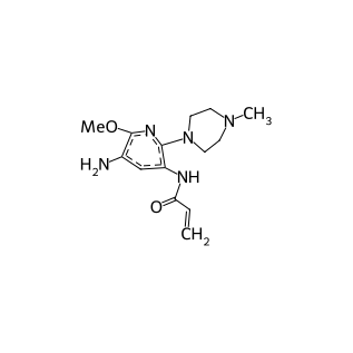 C=CC(=O)Nc1cc(N)c(OC)nc1N1CCN(C)CC1